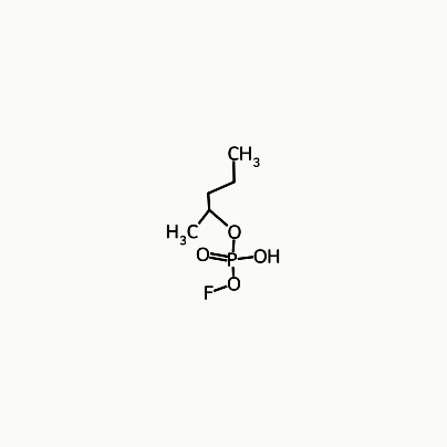 CCCC(C)OP(=O)(O)OF